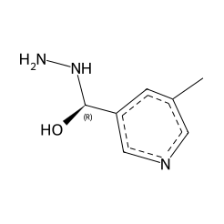 Cc1cncc([C@@H](O)NN)c1